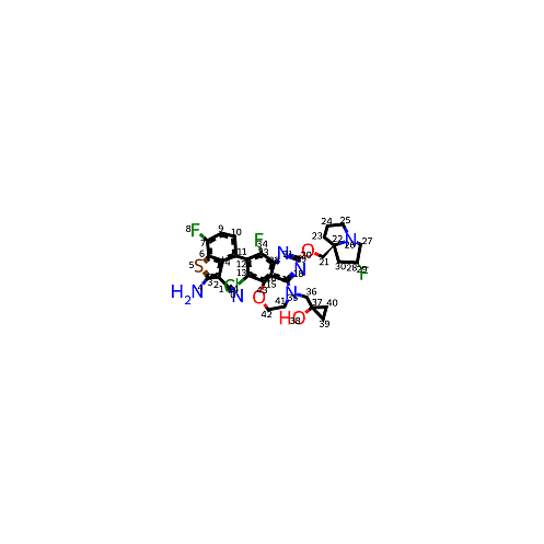 N#Cc1c(N)sc2c(F)ccc(-c3c(Cl)c4c5c(nc(OC[C@@]67CCCN6C[C@H](F)C7)nc5c3F)N(CC3(O)CC3)CCO4)c12